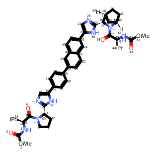 COC(=O)N[C@H](C(=O)N1CCC[C@H]1c1ncc(-c2ccc(-c3ccc4cc(-c5cnc([C@@H]6[C@H]7CC[C@H](C7)N6C(=O)[C@@H](NC(=O)OC)C(C)C)[nH]5)ccc4c3)cc2)[nH]1)C(C)C